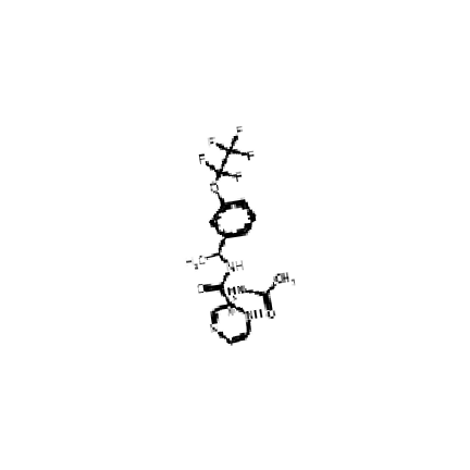 CC(=O)N[C@@]1(C(=O)NC(C)c2cccc(OC(F)(F)C(F)(F)F)c2)C=NC=CN1